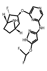 FC(F)Oc1cc(Nc2cncc(O[C@H]3C[C@@H]4CC[C@@H](N4)[C@@H]3F)n2)n[nH]1